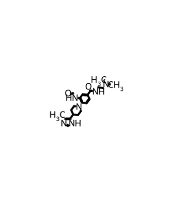 Cc1nc[nH]c1C1CCN(c2ccc(C(=O)NCCN(C)C)cc2NC=O)CC1